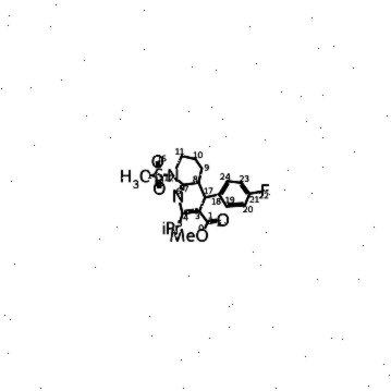 COC(=O)C1=C(C(C)C)N=C2C(CCCN2S(C)(=O)=O)C1c1ccc(F)cc1